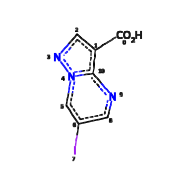 O=C(O)c1cnn2cc(I)cnc12